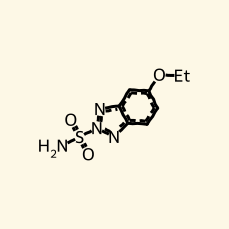 CCOc1ccc2nn(S(N)(=O)=O)nc2c1